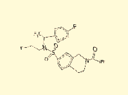 CC(C)C(=O)N1CCc2ccc(S(=O)(=O)N(CCF)[C@@H](c3ccc(F)cc3)C(F)(F)F)cc2C1